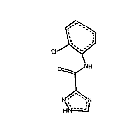 O=C(Nc1ccccc1Cl)c1nc[nH]n1